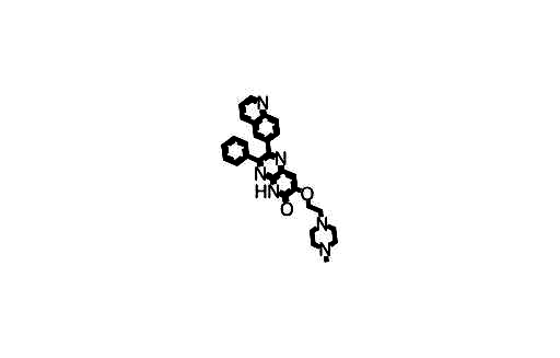 CN1CCN(CCOc2cc3nc(-c4ccc5ncccc5c4)c(-c4ccccc4)nc3[nH]c2=O)CC1